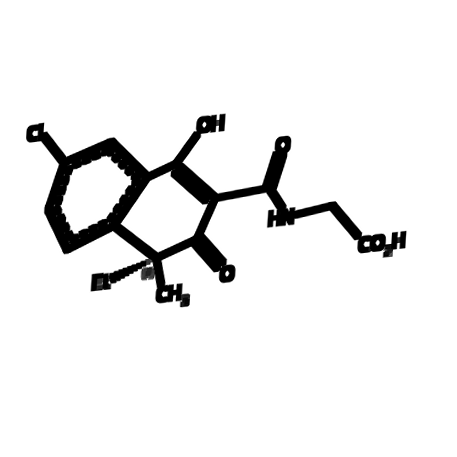 CC[C@@]1(C)C(=O)C(C(=O)NCC(=O)O)=C(O)c2cc(Cl)ccc21